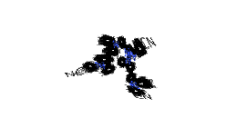 N#Cc1ccc(-c2cc(-c3cccc(-n4c5ccccc5c5cc(-c6ccc7c(c6)c6ccccc6n7-c6ccc(C#N)cc6)ccc54)c3)nc(-n3c4ccccc4c4cc(-c5ccc6c(c5)c5ccccc5n6-c5ccc(C#N)cc5)ccc43)n2)cc1